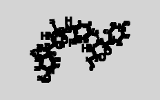 CCC(=O)N[C@H](Cc1ccc(NC(=O)[C@H](C)NC(=O)c2coc3cc(OC)ccc23)c(F)c1)C(=O)N1CCN(C)CC1